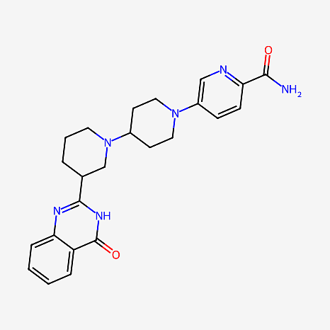 NC(=O)c1ccc(N2CCC(N3CCCC(c4nc5ccccc5c(=O)[nH]4)C3)CC2)cn1